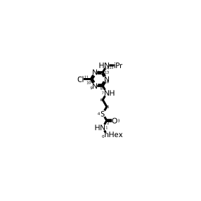 CCCCCCNC(=O)SCCNc1nc(Cl)nc(NC(C)C)n1